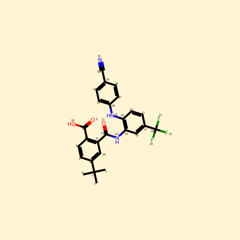 CC(C)(C)c1ccc(C(=O)O)c(C(=O)Nc2cc(C(F)(F)F)ccc2Nc2ccc(C#N)cc2)c1